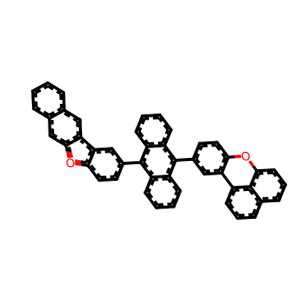 c1ccc2cc3c(cc2c1)oc1ccc(-c2c4ccccc4c(-c4ccc5c(c4)-c4cccc6cccc(c46)O5)c4ccccc24)cc13